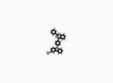 Brc1ccc2c(c1)c1ccccc1n2-c1ccc(-c2nc(-c3ccccc3)nc3ccccc23)cc1